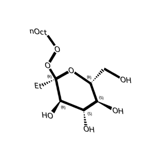 CCCCCCCCOO[C@@]1(CC)O[C@H](CO)[C@@H](O)[C@H](O)[C@H]1O